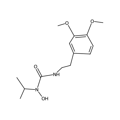 COc1ccc(CCNC(=O)N(O)C(C)C)cc1OC